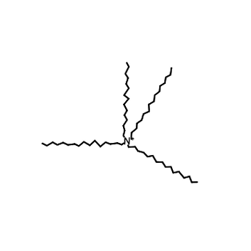 CCCCCCCCCCCCCCCC[N+](CCCCCCCCCCCCCCC)(CCCCCCCCCCCCCCCC)CCCCCCCCCCCCCCCC